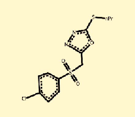 CCCSc1nnc(CS(=O)(=O)c2ccc(Cl)cc2)o1